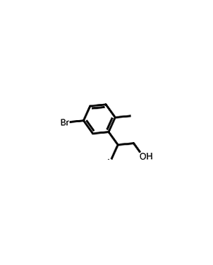 [CH2]C(CO)c1cc(Br)ccc1C